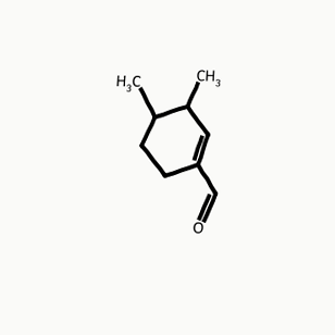 CC1C=C(C=O)CCC1C